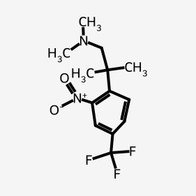 CN(C)CC(C)(C)c1ccc(C(F)(F)F)cc1[N+](=O)[O-]